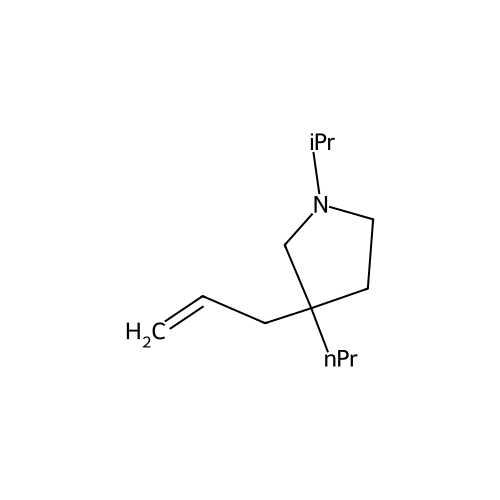 C=CCC1(CCC)CCN(C(C)C)C1